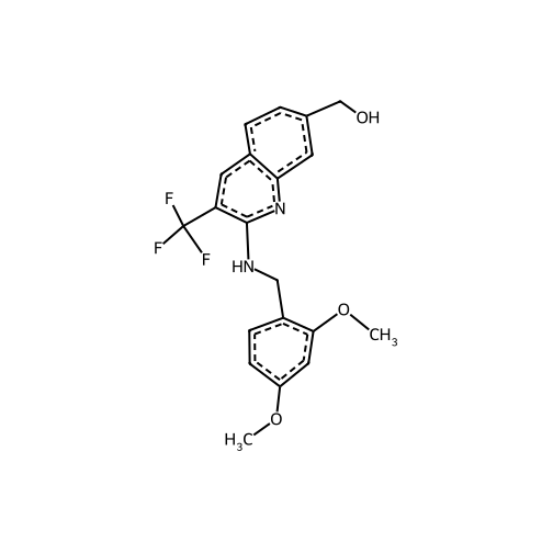 COc1ccc(CNc2nc3cc(CO)ccc3cc2C(F)(F)F)c(OC)c1